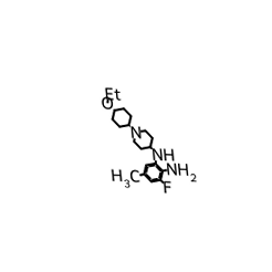 CCO[C@H]1CC[C@H](N2CCC(Nc3cc(C)cc(F)c3N)CC2)CC1